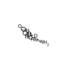 C[C@]12CCC(=O)C=C1CC[C@@H]1[C@@H]2CC[C@]2(C)C(C(=O)NCCN)CC[C@@H]12